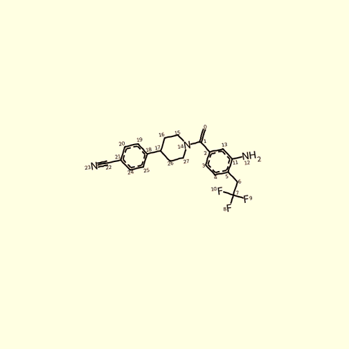 C=C(c1ccc(CC(F)(F)F)c(N)c1)N1CCC(c2ccc(C#N)cc2)CC1